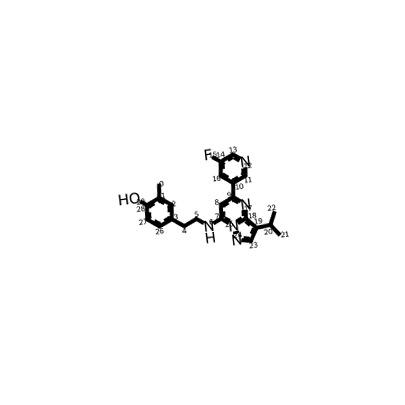 Cc1cc(CCNc2cc(-c3cncc(F)c3)nc3c(C(C)C)cnn23)ccc1O